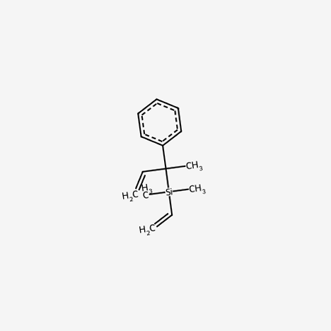 C=CC(C)(c1ccccc1)[Si](C)(C)C=C